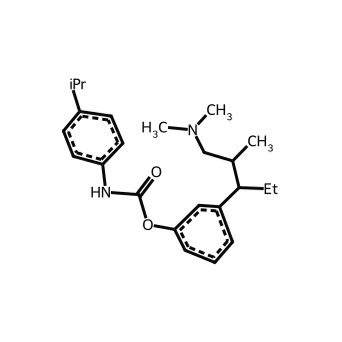 CCC(c1cccc(OC(=O)Nc2ccc(C(C)C)cc2)c1)C(C)CN(C)C